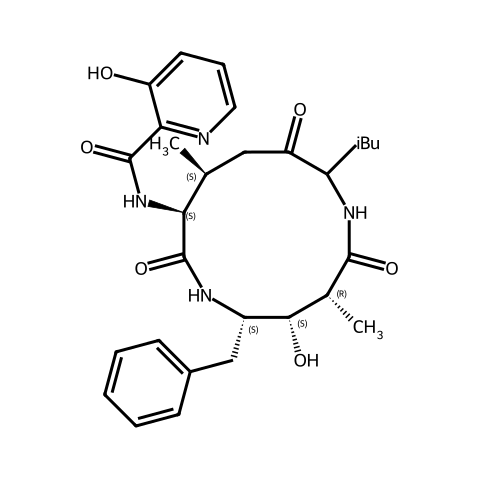 CCC(C)C1NC(=O)[C@H](C)[C@H](O)[C@H](Cc2ccccc2)NC(=O)[C@@H](NC(=O)c2ncccc2O)[C@@H](C)CC1=O